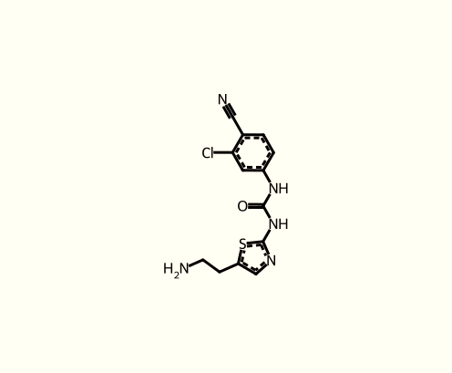 N#Cc1ccc(NC(=O)Nc2ncc(CCN)s2)cc1Cl